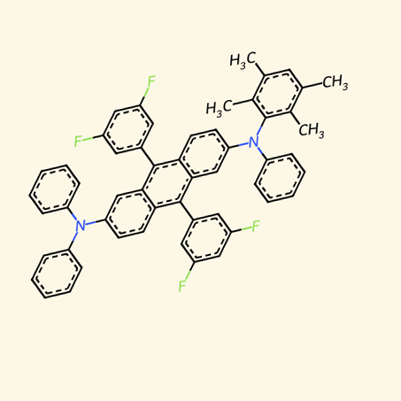 Cc1cc(C)c(C)c(N(c2ccccc2)c2ccc3c(-c4cc(F)cc(F)c4)c4cc(N(c5ccccc5)c5ccccc5)ccc4c(-c4cc(F)cc(F)c4)c3c2)c1C